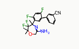 CC1(C)OCC(N)=NC(C)(c2cc(-c3cccc(C#N)c3)c(F)cc2F)C1(F)F